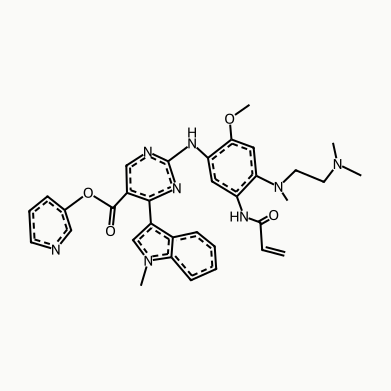 C=CC(=O)Nc1cc(Nc2ncc(C(=O)Oc3cccnc3)c(-c3cn(C)c4ccccc34)n2)c(OC)cc1N(C)CCN(C)C